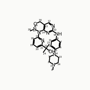 CN1CCN(c2ccc(Nc3ncc4c(n3)N(c3cccc(C(C)(C)O)n3)N(C)OC4)cc2)CC1